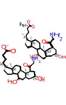 C[C@H](CCC(=O)[O-])[C@H]1CCC2C3C(CC[C@@]21C)[C@]1(C)C(C[C@H](O)CC1C(=O)CN)C[C@H]3O.C[C@H](CCC(=O)[O-])[C@H]1CCC2C3C(CC[C@@]21C)[C@]1(C)C(C[C@H](O)CC1C(=O)CN)C[C@H]3O.[Fe+2]